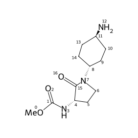 COC(=O)N[C@H]1CCN([C@H]2CC[C@H](N)CC2)C1=O